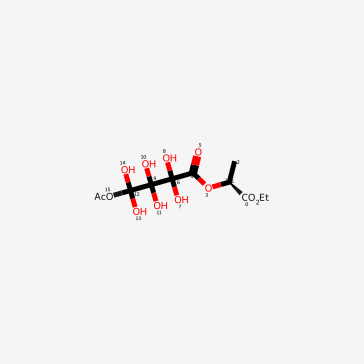 CCOC(=O)[C@H](C)OC(=O)C(O)(O)C(O)(O)C(O)(O)OC(C)=O